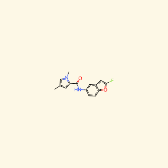 Cc1cc(C(=O)Nc2ccc3oc(F)cc3c2)n(C)c1